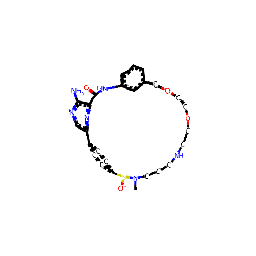 CN1CCCNCCOCCOCc2cccc(c2)NC(=O)c2nc(cnc2N)-c2ccc(cc2)[S+]1[O-]